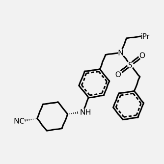 CC(C)CN(Cc1ccc(N[C@H]2CC[C@@H](C#N)CC2)cc1)S(=O)(=O)Cc1ccccc1